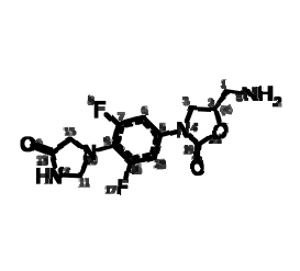 NC[C@@H]1CN(c2cc(F)c(N3CNC(=O)C3)c(F)c2)C(=O)O1